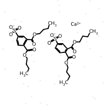 CCCCOC(=O)c1ccc(S(=O)(=O)[O-])cc1C(=O)OCCCC.CCCCOC(=O)c1ccc(S(=O)(=O)[O-])cc1C(=O)OCCCC.[Ca+2]